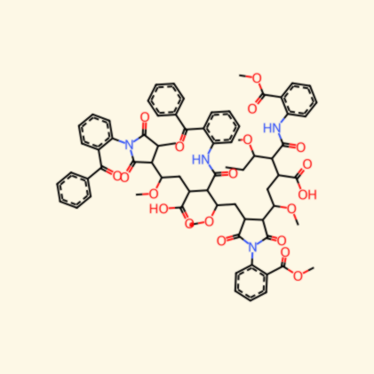 CCC(OC)C(C(=O)Nc1ccccc1C(=O)OC)C(CC(OC)C1C(=O)N(c2ccccc2C(=O)OC)C(=O)C1CC(OC)C(C(=O)Nc1ccccc1C(=O)c1ccccc1)C(CC(OC)C1C(=O)N(c2ccccc2C(=O)c2ccccc2)C(=O)C1C)C(=O)O)C(=O)O